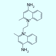 Cc1cc(N)c2ccccc2[n+]1CC[n+]1c(C)cc(N)c2ccccc21